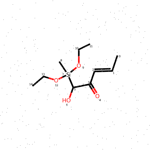 CC=CC(=O)C(O)[Si](C)(OCC)OCC